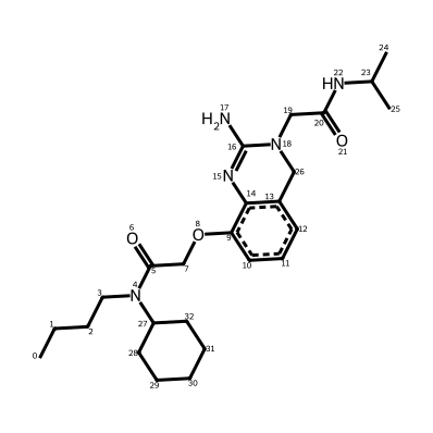 CCCCN(C(=O)COc1cccc2c1N=C(N)N(CC(=O)NC(C)C)C2)C1CCCCC1